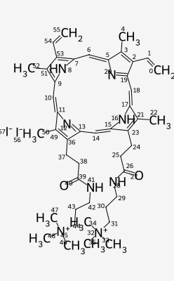 C=CC1=C(C)c2cc3[nH]c(cc4nc(cc5[nH]c(cc1n2)c(C)c5CCC(=O)NCCC[N+](C)(C)C)C(CCC(=O)NCCC[N+](C)(C)C)=C4C)c(C)c3C=C.[I-].[I-]